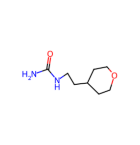 NC(=O)NCCC1CCOCC1